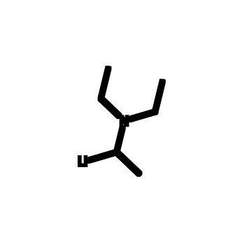 [Li][CH](C)N(CC)CC